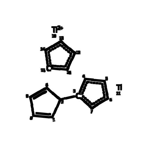 C1=CC([c-]2cccc2)C=C1.[Ti+2].[Ti].c1cc[cH-]c1